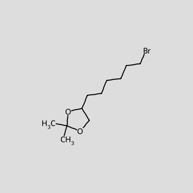 CC1(C)OCC(CCCCCCBr)O1